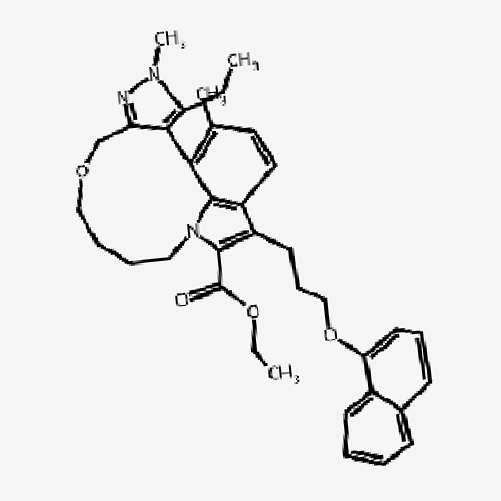 CCOC(=O)c1c(CCCOc2cccc3ccccc23)c2ccc(C)c3c2n1CCCCOCc1nn(C)c(CC)c1-3